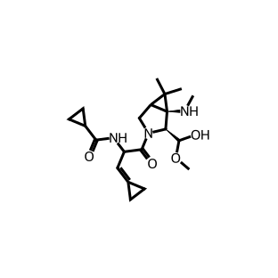 CN[C@]12C(CN(C(=O)C(C=C3CC3)NC(=O)C3CC3)[C@@H]1C(O)OC)C2(C)C